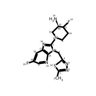 Cc1nnc(Cn2c(N3CCC(F)[C@H](N)C3)nc3cc(F)cnc32)s1